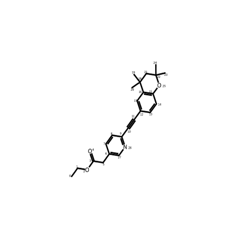 CCOC(=O)Cc1ccc(C#Cc2ccc3c(c2)C(C)(C)CC(C)(C)O3)nc1